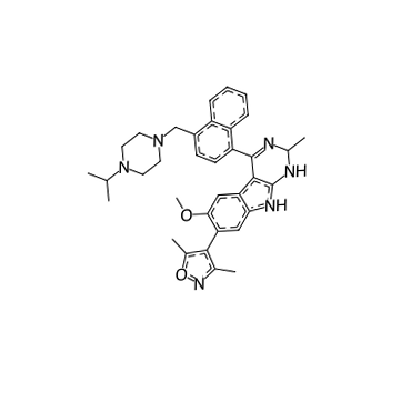 COc1cc2c3c([nH]c2cc1-c1c(C)noc1C)NC(C)N=C3c1ccc(CN2CCN(C(C)C)CC2)c2ccccc12